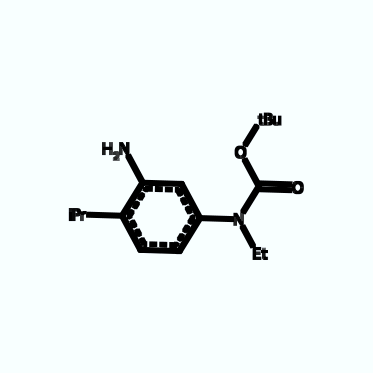 CCN(C(=O)OC(C)(C)C)c1ccc(C(C)C)c(N)c1